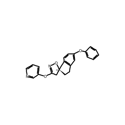 c1ccc(Oc2ccc3c(c2)CC[C@]32CC(Oc3cccnc3)=NO2)cc1